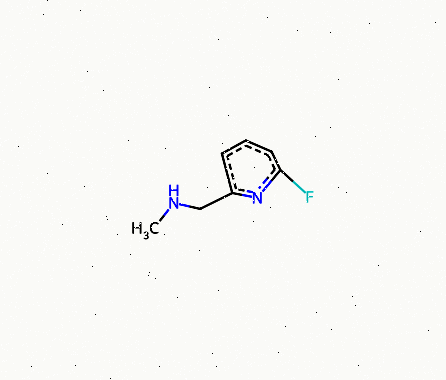 CNCc1cccc(F)n1